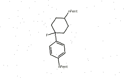 CCCCCc1ccc(C2(F)CCC(CCCCC)CC2)cc1